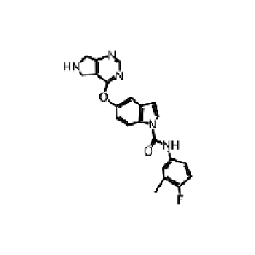 Cc1cc(NC(=O)n2ccc3cc(Oc4ncnc5c4CNC5)ccc32)ccc1F